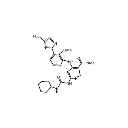 CNC(=O)c1nnc(NC(=O)NC2CCCCC2)cc1Nc1cccc(-c2ncn(C)n2)c1OC